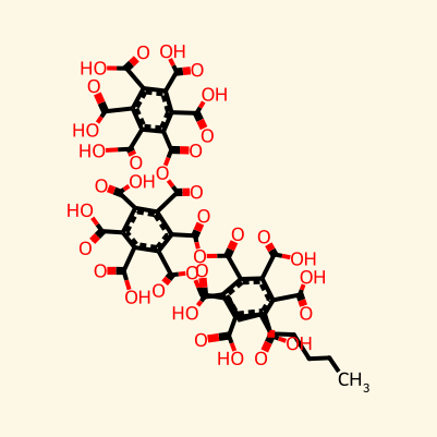 CCCCCCCCCOC(=O)c1c(C(=O)O)c(C(=O)O)c(C(=O)O)c(C(=O)OC(=O)c2c(C(=O)O)c(C(=O)O)c(C(=O)O)c(C(=O)O)c2C(=O)O)c1C(=O)OC(=O)c1c(C(=O)O)c(C(=O)O)c(C(=O)O)c(C(=O)O)c1C(=O)O